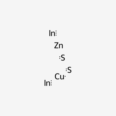 [Cu].[In].[In].[S].[S].[Zn]